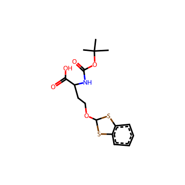 CC(C)(C)OC(=O)NC(CCOC1Sc2ccccc2S1)C(=O)O